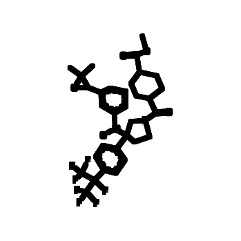 COC(=O)C1CCC(C(=O)N2CCC(c3ccc(C(F)(C(F)(F)F)C(F)(F)F)cc3)([S+]([O-])c3cccc(C4OC4(C)C)c3)C2)CC1